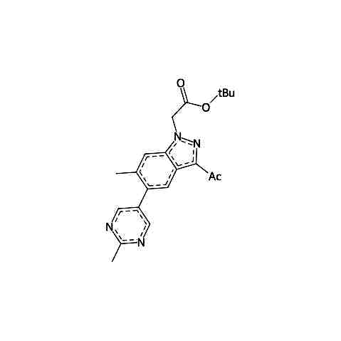 CC(=O)c1nn(CC(=O)OC(C)(C)C)c2cc(C)c(-c3cnc(C)nc3)cc12